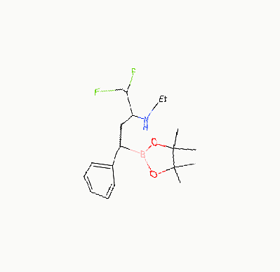 CCNC(CC(B1OC(C)(C)C(C)(C)O1)c1ccccc1)C(F)F